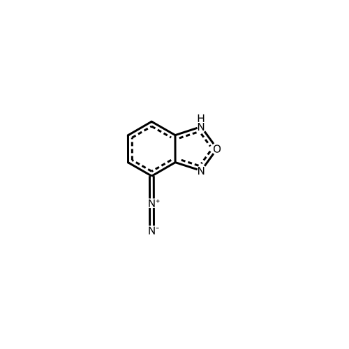 [N-]=[N+]=c1cccc2[nH]onc1-2